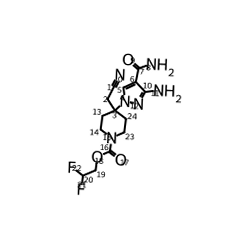 N#CCC1(n2cc(C(N)=O)c(N)n2)CCN(C(=O)OCC(F)F)CC1